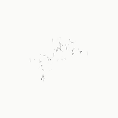 COc1ccc2c(c(C(C)CC(=O)N3C4CC5(C)CC3CC(C#N)(C4)C5)nn2C)c1Cl